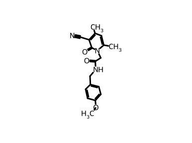 COc1ccc(CNC(=O)Cn2c(C)cc(C)c(C#N)c2=O)cc1